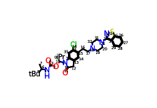 CC(C)C(OC(=O)NC(C)C(C)(C)C)N1C(=O)Cc2cc(CCN3CCN(c4nsc5ccccc45)CC3)c(Cl)cc21